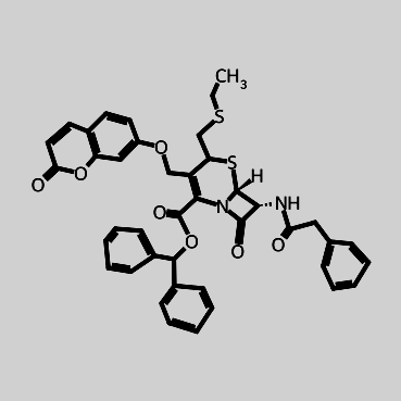 CCSCC1S[C@@H]2[C@H](NC(=O)Cc3ccccc3)C(=O)N2C(C(=O)OC(c2ccccc2)c2ccccc2)=C1COc1ccc2ccc(=O)oc2c1